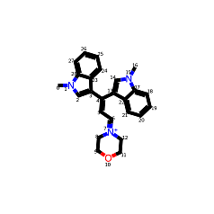 Cn1cc(C(=CC=[N+]2CCOCC2)c2cn(C)c3ccccc23)c2ccccc21